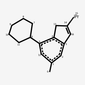 Cc1cc2c(c(C3CCCCC3)c1)CC(C(C)C)=C2